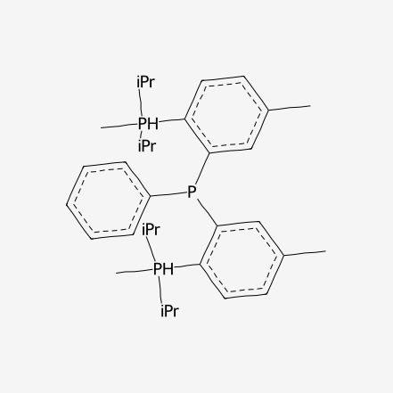 Cc1ccc([PH](C)(C(C)C)C(C)C)c(P(c2ccccc2)c2cc(C)ccc2[PH](C)(C(C)C)C(C)C)c1